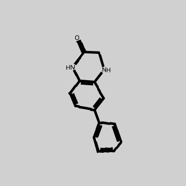 O=C1CNc2cc(-c3ccccc3)ccc2N1